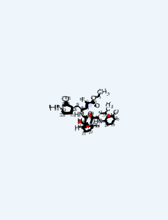 CCOC(=O)/C(F)=C/[C@H](C[C@H]1CCNC1=O)NC(=O)[C@@H]1[C@H]2CC[C@H](CC2(F)F)N1C(=O)[C@H](CC(C)C)Nc1cccc(Cl)c1